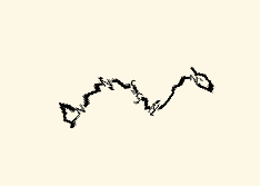 CC1CCCC=[N+]1CCCC[N+](C)(C)CCSSCC[N+](C)(C)CCCC[N+]1=CCCCC1C